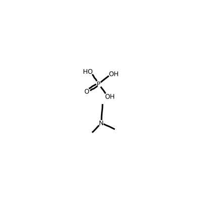 CN(C)C.O=P(O)(O)O